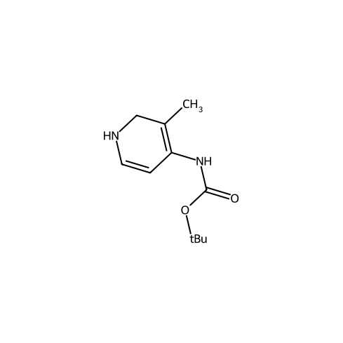 CC1=C(NC(=O)OC(C)(C)C)C=CNC1